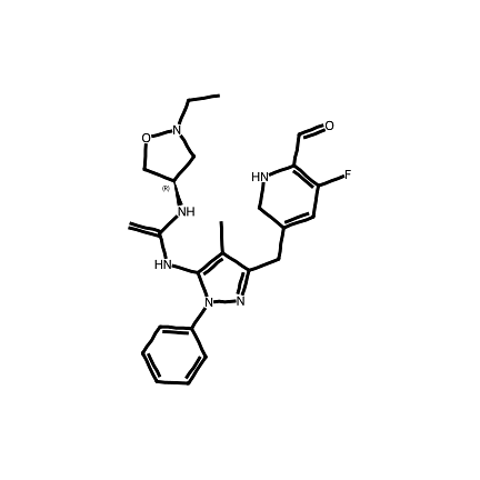 C=C(Nc1c(C)c(CC2=CC(F)=C(C=O)NC2)nn1-c1ccccc1)N[C@H]1CON(CC)C1